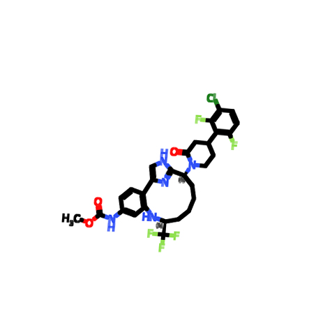 COC(=O)Nc1ccc2c(c1)N[C@H](C(F)(F)F)CCCC[C@H](N1CCC(c3c(F)ccc(Cl)c3F)CC1=O)c1nc-2c[nH]1